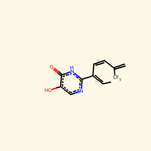 C=C(/C=C\C(=C/C)c1ncc(O)c(=O)[nH]1)C(F)(F)F